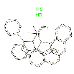 Cl.Cl.[CH3][Hf]([CH3])(=[SiH2])([CH]1C(c2ccccc2)=Cc2ccc3ccccc3c21)[CH]1C(c2ccccc2)=Cc2ccc3ccccc3c21